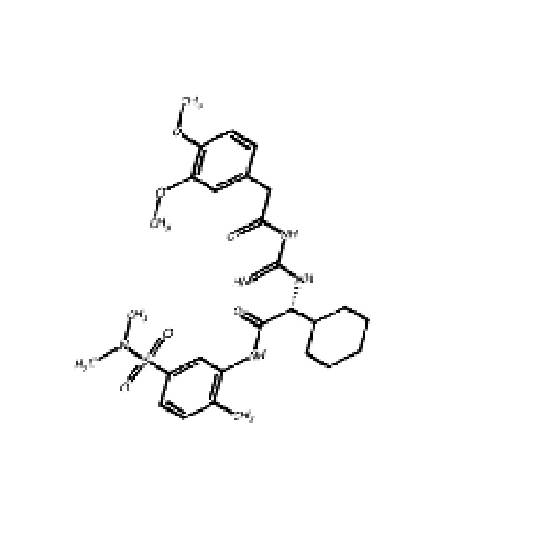 COc1ccc(CC(=O)NC(=N)N[C@@H](C(=O)Nc2cc(S(=O)(=O)N(C)C)ccc2C)C2CCCCC2)cc1OC